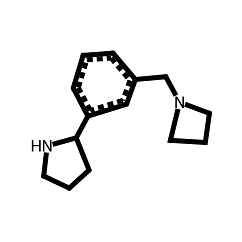 c1cc(CN2CCC2)cc(C2CCCN2)c1